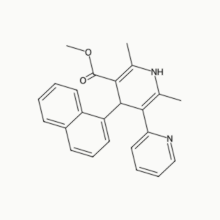 COC(=O)C1=C(C)NC(C)=C(c2ccccn2)C1c1cccc2ccccc12